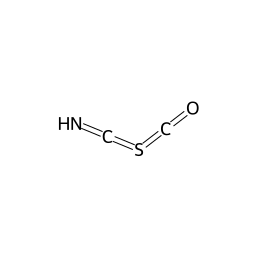 N=C=S=C=O